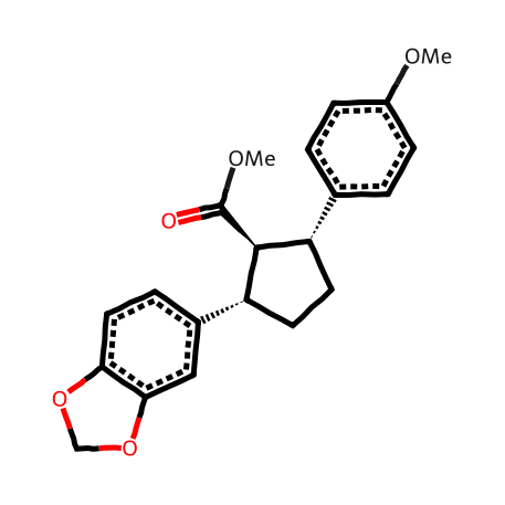 COC(=O)[C@@H]1[C@@H](c2ccc3c(c2)OCO3)CC[C@H]1c1ccc(OC)cc1